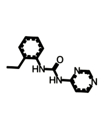 CCc1ccccc1NC(=O)Nc1ccncn1